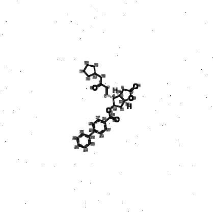 O=C(C=C[C@@H]1[C@H]2CC(=O)O[C@H]2C[C@H]1OC(=O)c1ccc(-c2ccccc2)cc1)CC1CCCC1